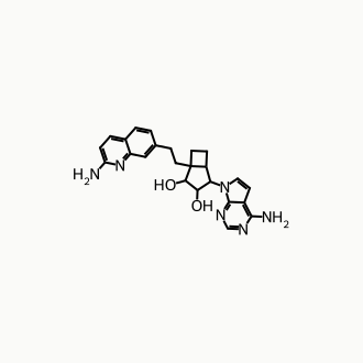 Nc1ccc2ccc(CCC34CCC3C(n3ccc5c(N)ncnc53)C(O)C4O)cc2n1